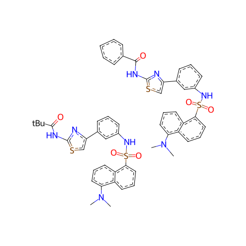 CN(C)c1cccc2c(S(=O)(=O)Nc3cccc(-c4csc(NC(=O)C(C)(C)C)n4)c3)cccc12.CN(C)c1cccc2c(S(=O)(=O)Nc3cccc(-c4csc(NC(=O)c5ccccc5)n4)c3)cccc12